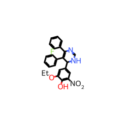 CCOc1cc(C2NC=NC(c3ccccc3)=C2c2ccccc2F)cc([N+](=O)[O-])c1O